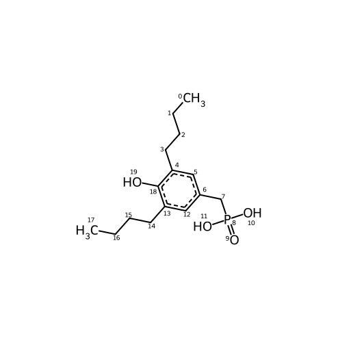 CCCCc1cc(CP(=O)(O)O)cc(CCCC)c1O